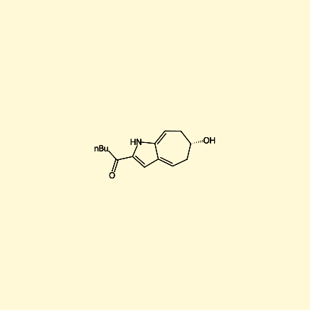 CCCCC(=O)c1cc2c([nH]1)=CC[C@H](O)CC=2